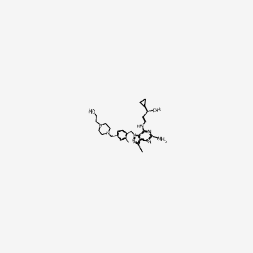 Cc1cc(CN2CCN(CCO)CC2)ccc1Cn1nc(C)c2nc(N)nc(NCC[C@H](O)C3CC3)c21